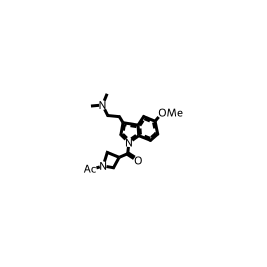 COc1ccc2c(c1)c(CCN(C)C)cn2C(=O)C1CN(C(C)=O)C1